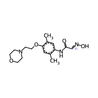 Cc1cc(OCCN2CCOCC2)c(C)cc1NC(=O)/C=N/O